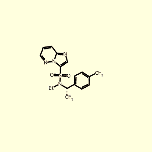 CCN([C@H](c1ccc(C(F)(F)F)cc1)C(F)(F)F)S(=O)(=O)c1cnc2cccnn12